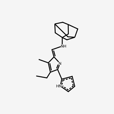 CCC1=C(C)/C(=C/NC23CC4CC(CC(C4)C2)C3)N=C1c1ccc[nH]1